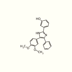 COc1ccc(-c2[nH]c(-c3cccc(O)c3)nc2-c2ccccc2)cc1OC